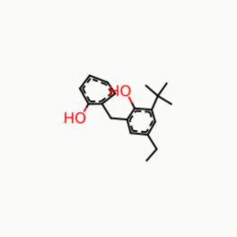 CCc1cc(Cc2ccccc2O)c(O)c(C(C)(C)C)c1